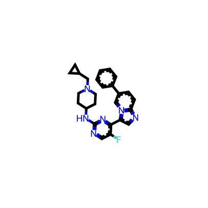 Fc1cnc(NC2CCN(CC3CC3)CC2)nc1-c1cnc2ccc(-c3ccccc3)cn12